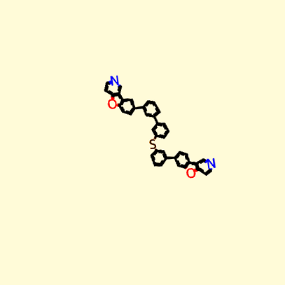 c1cc(Sc2cccc(-c3ccc4c(c3)oc3ccncc34)c2)cc(-c2cccc(-c3ccc4oc5ccncc5c4c3)c2)c1